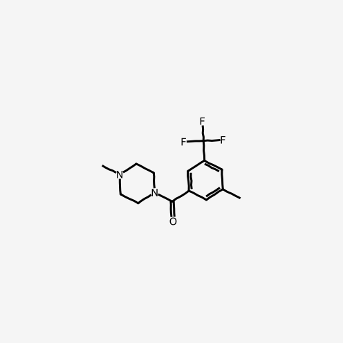 Cc1cc(C(=O)N2CCN(C)CC2)cc(C(F)(F)F)c1